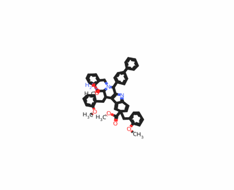 COC(=O)C1(Cc2ccccc2OC)C=CC2=NC3=C(C2=C1)C(Cc1ccccc1OC)C(C(N)=O)N(Cc1ccccc1OC)C3c1ccc(-c2ccccc2)cc1